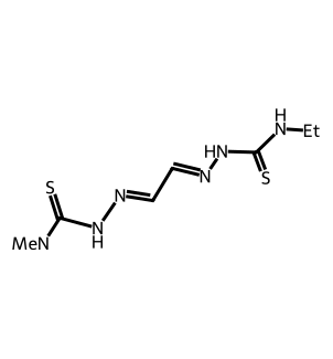 CCNC(=S)N/N=C/C=N/NC(=S)NC